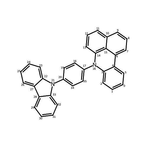 c1ccc2c(c1)-c1cccc3cccc(c13)N2c1ccc(-n2c3ccccc3c3ccccc32)cc1